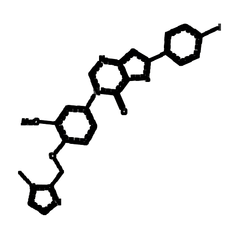 COc1cc(-n2cnc3cc(-c4ccc(I)cc4)sc3c2=O)ccc1OCc1nccn1C